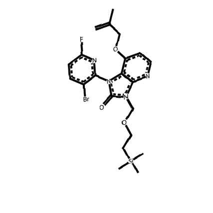 C=C(C)COc1ccnc2c1n(-c1nc(F)ccc1Br)c(=O)n2COCC[Si](C)(C)C